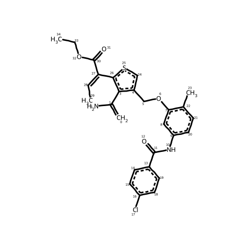 C=C(N)c1c(COc2cc(NC(=O)c3ccc(Cl)cc3)ccc2C)csc1/C(=C\C)C(=O)OCC